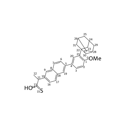 COc1ccc(-c2ccc3cc(C(C)C(O)=S)ccc3c2)cc1C12CC3CC(CC(C3)C1)C2